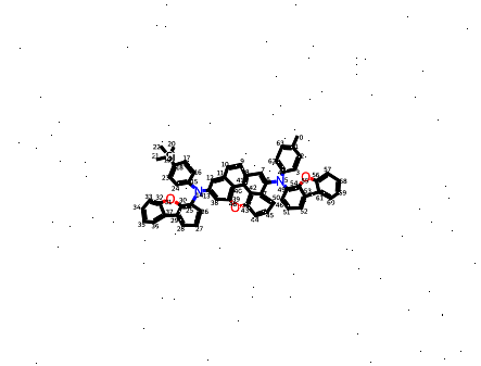 Cc1ccc(N(c2cc3ccc4cc(N(c5ccc([Si](C)(C)C)cc5)c5cccc6c5oc5ccccc56)cc5c4c3c3c(cccc23)O5)c2cccc3c2oc2ccccc23)cc1